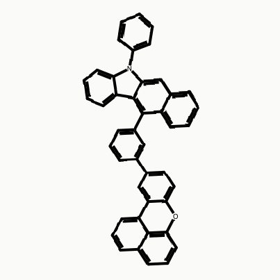 c1ccc(-n2c3ccccc3c3c(-c4cccc(-c5ccc6c(c5)-c5cccc7cccc(c57)O6)c4)c4ccccc4cc32)cc1